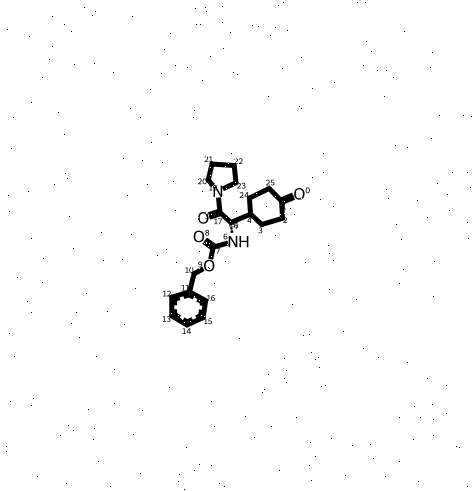 O=C1CCC([C@H](NC(=O)OCc2ccccc2)C(=O)N2CCCC2)CC1